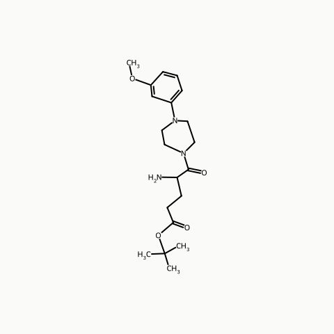 COc1cccc(N2CCN(C(=O)C(N)CCC(=O)OC(C)(C)C)CC2)c1